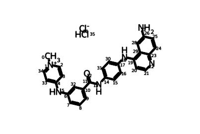 C[n+]1ccc(Nc2cccc(C(=O)Nc3ccc(Nc4ccnc5ccc(N)cc45)cc3)c2)cc1.Cl.[Cl-]